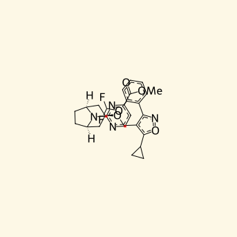 COC(=O)c1ccnc(N2[C@@H]3CC[C@H]2C[C@@H](OCc2c(-c4ccccc4OC(F)F)noc2C2CC2)C3)n1